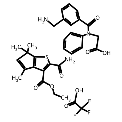 CCOC(=O)c1c(C(N)=O)sc2c1C(C)=CC2(C)C.NCc1cccc(C(=O)N(CC(=O)O)c2ccccc2)c1.O=C(O)C(F)(F)F